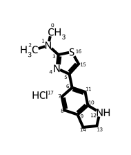 CN(C)c1nc(-c2ccc3c(c2)NCC3)cs1.Cl